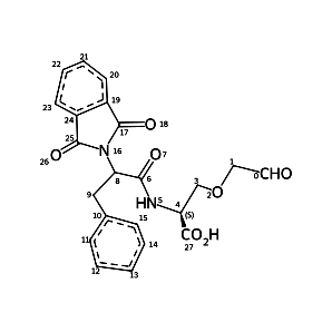 O=CCOC[C@H](NC(=O)C(Cc1ccccc1)N1C(=O)c2ccccc2C1=O)C(=O)O